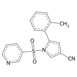 Cc1ccccc1-c1cc(C#N)cn1S(=O)(=O)c1cccnc1